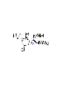 CN/C=C(\N=N)[C@@H]1CC(=O)C[C@H](C)N1